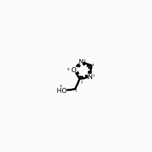 OCc1n[c]no1